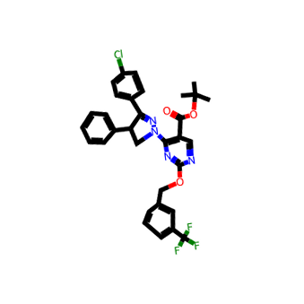 CC(C)(C)OC(=O)c1cnc(OCc2cccc(C(F)(F)F)c2)nc1N1CC(c2ccccc2)C(c2ccc(Cl)cc2)=N1